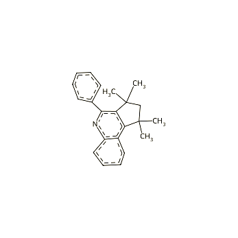 CC1(C)CC(C)(C)c2c1c(-c1ccccc1)nc1ccccc21